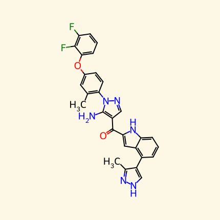 Cc1cc(Oc2cccc(F)c2F)ccc1-n1ncc(C(=O)c2cc3c(-c4c[nH]nc4C)cccc3[nH]2)c1N